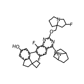 Oc1cc2c(c(-c3c(F)cc4c(N5CC6CCC(C5)N6)nc(OCC56CCCN5CC(F)C6)nc4c3F)c1)C1(CCC1)CC2